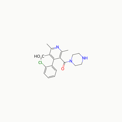 Cc1nc(C)c(C(=O)N2CCNCC2)c(-c2ccccc2Cl)c1C(=O)O